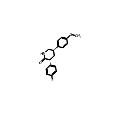 CSc1ccc([C@@H]2CNC(=O)[C@@H](c3ccc(F)cc3)C2)cc1